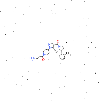 NCCC(=O)N1CCC(n2ncc(C(=O)N3CC[C@@H](c4ccccc4C(F)(F)F)C3)c2C2CC2)CC1